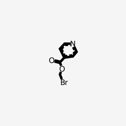 O=C(OCBr)c1ccncc1